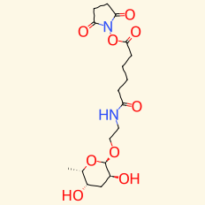 C[C@@H]1O[C@@H](OCCNC(=O)CCCCC(=O)ON2C(=O)CCC2=O)[C@@H](O)C[C@@H]1O